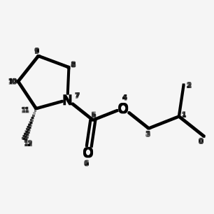 CC(C)COC(=O)N1CCC[C@H]1C